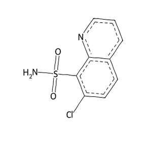 NS(=O)(=O)c1c(Cl)ccc2cccnc12